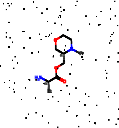 CC[C@H](N)C(=O)OC[C@@H]1COCCN1C(C)C